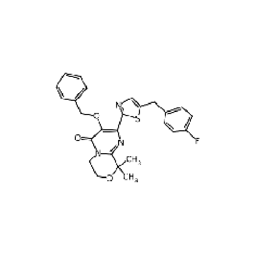 CC1(C)OCCn2c1nc(-c1ncc(Cc3ccc(F)cc3)s1)c(OCc1ccccc1)c2=O